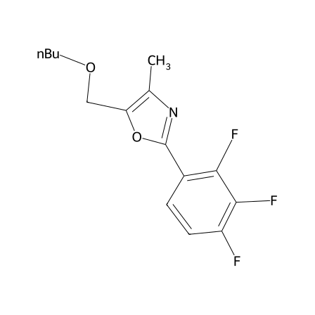 CCCCOCc1oc(-c2ccc(F)c(F)c2F)nc1C